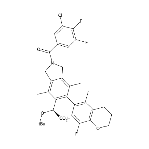 Cc1c(-c2c(C)c3c(c(C)c2[C@H](OC(C)(C)C)C(=O)O)CN(C(=O)c2cc(F)c(F)c(Cl)c2)C3)cc(F)c2c1CCCO2